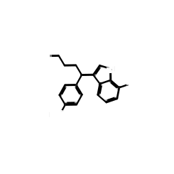 CCc1cccc2c(C(CCCO)c3ccc(C(F)(F)F)cc3)c[nH]c12